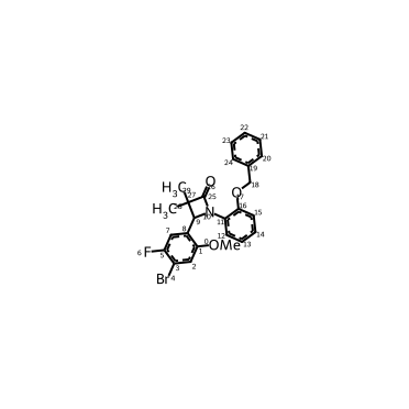 COc1cc(Br)c(F)cc1C1N(c2ccccc2OCc2ccccc2)C(=O)C1(C)C